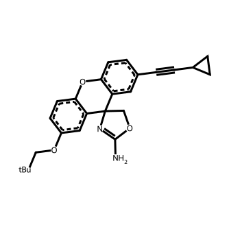 CC(C)(C)COc1ccc2c(c1)C1(COC(N)=N1)c1cc(C#CC3CC3)ccc1O2